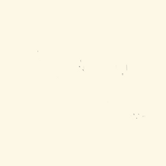 COc1ccc(C(F)(F)F)nc1C